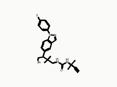 C#CC(C)(C)NC(=O)NCC(C)(C)C(CC(C)C)c1ccc2c(cnn2-c2ccc(F)cc2)c1